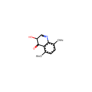 COc1ccc(OC)c2c1N=CC(O)C2=O